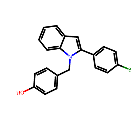 Oc1ccc(Cn2c(-c3ccc(Br)cc3)cc3ccccc32)cc1